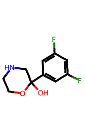 OC1(c2cc(F)cc(F)c2)CNCCO1